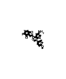 COc1ccc(N(C=O)c2nnc(N)cc2OCCc2c(Cl)ccc(F)c2Cl)cn1